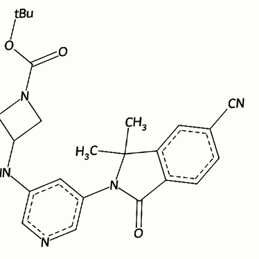 CC(C)(C)OC(=O)N1CC(Nc2cncc(N3C(=O)c4ccc(C#N)cc4C3(C)C)c2)C1